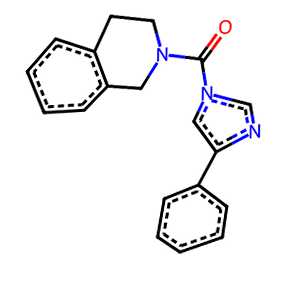 O=C(N1CCc2ccccc2C1)n1cnc(-c2ccccc2)c1